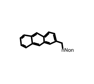 CCCCCCCCCCc1ccc2cc3[c]cccc3cc2c1